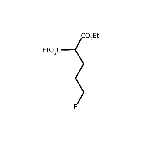 CCOC(=O)C(CCCF)C(=O)OCC